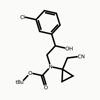 CC(C)(C)OC(=O)N(CC(O)c1cccc(Cl)c1)C1(CC#N)CC1